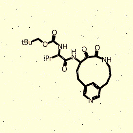 CC(C)C(NC(=O)OCC(C)(C)C)C(=O)NC1CCc2cncc(c2)CCCNC(=O)C1=O